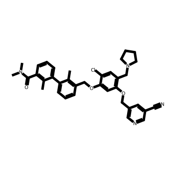 Cc1c(COc2cc(OCc3cncc(C#N)c3)c(CN3CCCC3)cc2Cl)cccc1-c1cccc(C(=O)N(C)C)c1C